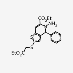 CCOC(=O)CSc1cc2c(s1)C=C(C(=O)OCC)N(N)C2c1ccccc1